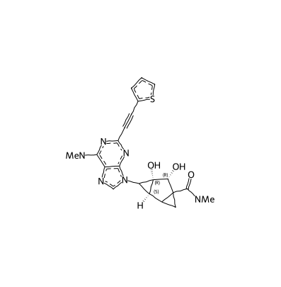 CNC(=O)C12CC1[C@H]1C(n3cnc4c(NC)nc(C#Cc5cccs5)nc43)[C@@]1(O)[C@@H]2O